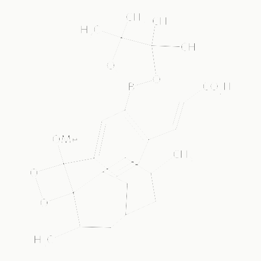 COC1(c2ccc(/C=C/C(=O)O)c(B3OC(C)(C)C(C)(C)O3)c2)OOC12C(C)CC1CC(C)CC2C1